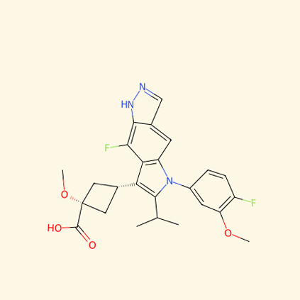 COc1cc(-n2c(C(C)C)c([C@H]3C[C@](OC)(C(=O)O)C3)c3c(F)c4[nH]ncc4cc32)ccc1F